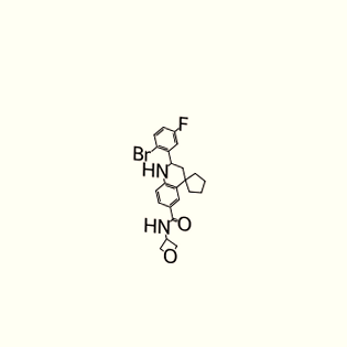 O=C(NC1COC1)c1ccc2c(c1)C1(CCCC1)CC(c1cc(F)ccc1Br)N2